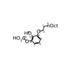 CCCCCCCCCCOc1cccc(OC(=O)O)c1O